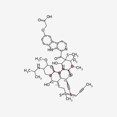 CC#C/C=C\C#C[C@H](OC1OC(C)C(SC)(C(=O)c2nccc3c2[nH]c2ccc(OCC(=O)O)cc23)C(O)C1OC1CC(OC)C(NC(C)C)CO1)C1=C(NC(=O)OC)C(=O)C[C@H](O)/C1=C/CS(C)(=S)=S